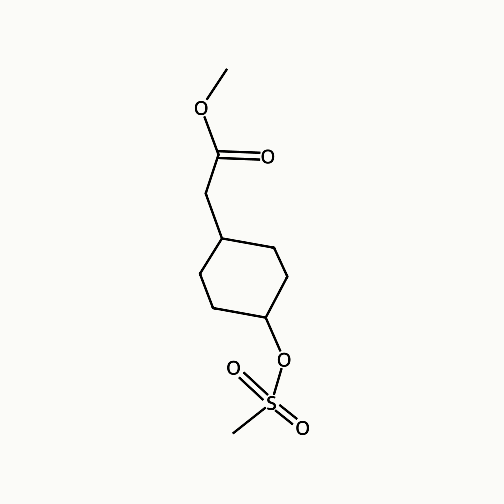 COC(=O)CC1CCC(OS(C)(=O)=O)CC1